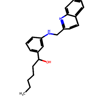 CCCCCC(O)c1cccc(NCc2ccc3ccccc3n2)c1